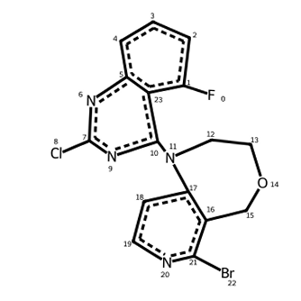 Fc1cccc2nc(Cl)nc(N3CCOCc4c3ccnc4Br)c12